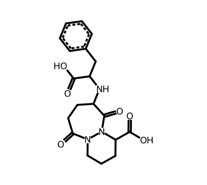 O=C(O)C(Cc1ccccc1)NC1CCC(=O)N2CCCC(C(=O)O)N2C1=O